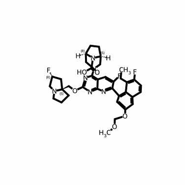 CCc1c(F)ccc2cc(OCOC)cc(-c3nc4nc(OC[C@@]56CCCN5C[C@H](F)C6)nc(N5C[C@H]6CC[C@@H](C5)N6C(=O)O)c4cc3F)c12